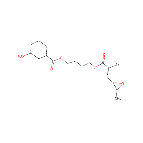 CCC(CC1OC1C)C(=O)OCCCCOC(=O)C1CCCC(O)C1